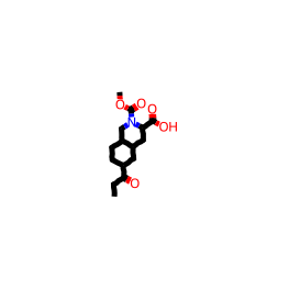 CCC(=O)C1CCC2CN(C(=O)OC)C(C(=O)O)CC2C1